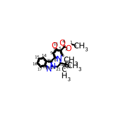 CCOC(=O)c1cn2c(cc1=O)-c1c3ccccc3nn1CC2C(C)(C)C